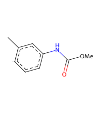 COC(=O)Nc1cc[c]c(C)c1